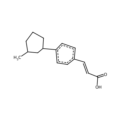 CC1CCCC(c2ccc(C=CC(=O)O)cc2)C1